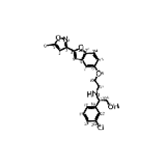 Cc1cc(-c2cc3cc(OCCN[C@@H](CO)c4cccc(Cl)c4)ccc3o2)no1